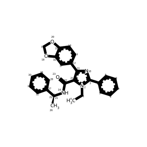 CCn1c(-c2ccccc2)nc(-c2ccc3c(c2)OCO3)c1C(=O)N[C@@H](C)c1ccccc1